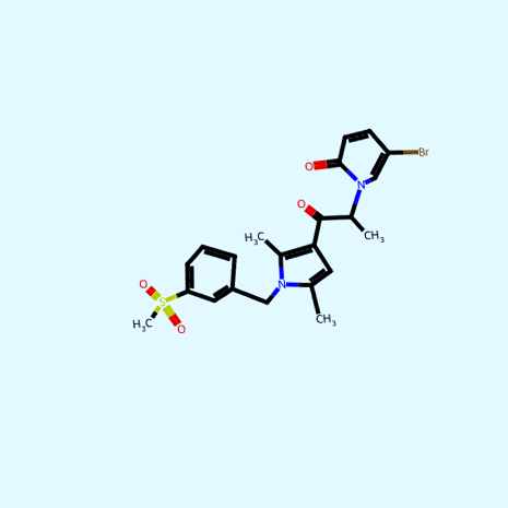 Cc1cc(C(=O)C(C)n2cc(Br)ccc2=O)c(C)n1Cc1cccc(S(C)(=O)=O)c1